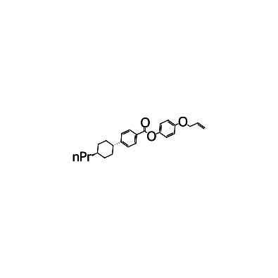 C=CCOc1ccc(OC(=O)c2ccc([C@H]3CC[C@H](CCC)CC3)cc2)cc1